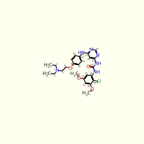 CCN(CC)CCOc1ccc(Nc2cc(NC(=O)Nc3cc(OC)cc(OC)c3Cl)ncn2)cc1